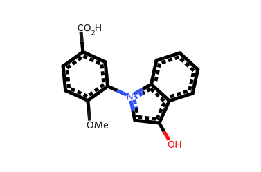 COc1ccc(C(=O)O)cc1-n1cc(O)c2ccccc21